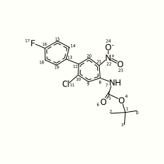 CC(C)(C)OC(=O)Nc1cc(Cl)c(-c2ccc(F)cc2)cc1[N+](=O)[O-]